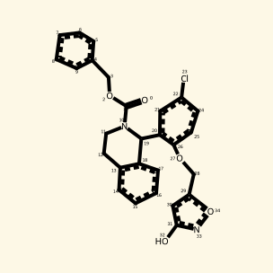 O=C(OCc1ccccc1)N1CCc2ccccc2C1c1cc(Cl)ccc1OCc1cc(O)no1